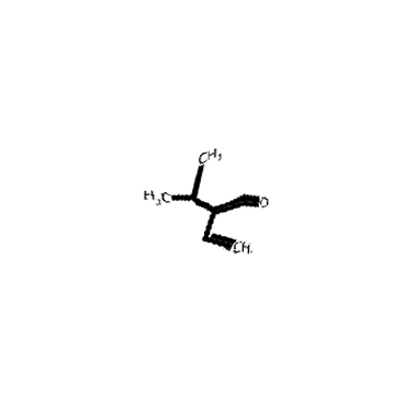 [CH]=CC(=O)C(C)C